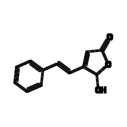 O=C1C=C(/C=C/c2ccccc2)C(O)O1